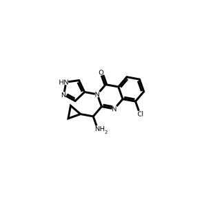 NC(c1nc2c(Cl)cccc2c(=O)n1-c1cn[nH]c1)C1CC1